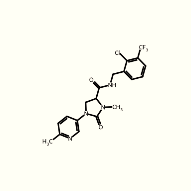 Cc1ccc(N2CC(C(=O)NCc3cccc(C(F)(F)F)c3Cl)N(C)C2=O)cn1